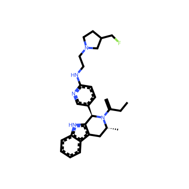 C=C(CC)N1[C@H](c2ccc(NCCN3CCC(CF)C3)nc2)c2[nH]c3ccccc3c2C[C@H]1C